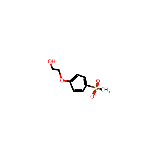 CS(=O)(=O)c1ccc(OCCO)cc1